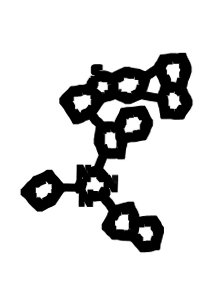 c1ccc(-c2nc(-c3ccc4ccccc4c3)nc(-c3cc(-c4cccc5sc6cc7c(cc6c45)-c4cccc5cccc-7c45)c4ccccc4c3)n2)cc1